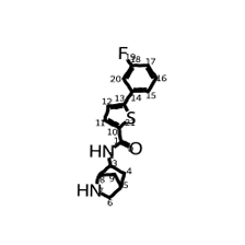 O=C(NC1CC2CNC1C2)c1ccc(-c2cccc(F)c2)s1